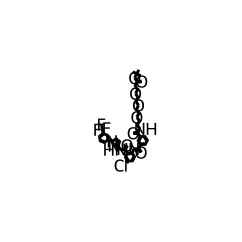 CC(C)(C)OC(=O)CCOCCOCCOCCNC(=O)c1cccc(C(=O)Nc2ccc(Cl)cc2C(=O)Nc2ccn(C3C=CC=C(C(F)(F)F)C3)n2)c1